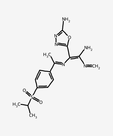 C=N/C(N)=C(\N=C(/C)c1ccc(S(=O)(=O)C(C)C)cc1)c1nnc(N)o1